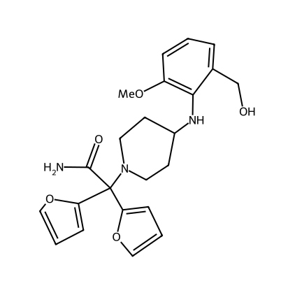 COc1cccc(CO)c1NC1CCN(C(C(N)=O)(c2ccco2)c2ccco2)CC1